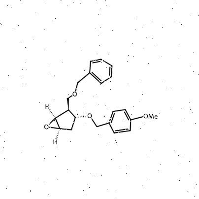 COc1ccc(CO[C@@H]2C[C@H]3O[C@H]3[C@H]2COCc2ccccc2)cc1